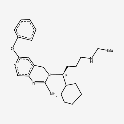 CC(C)(C)CNCCC[C@@H](C1CCCCC1)N1Cc2cc(Oc3ccccc3)ncc2N=C1N